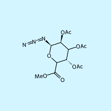 COC(=O)C1O[C@@H](N=[N+]=[N-])[C@@H](OC(C)=O)C(OC(C)=O)[C@@H]1OC(C)=O